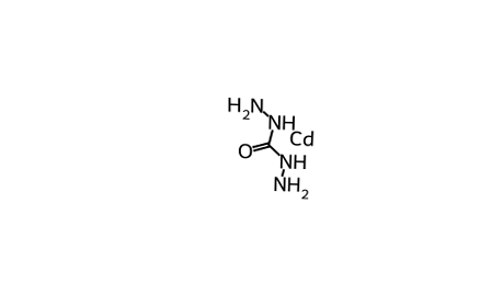 NNC(=O)NN.[Cd]